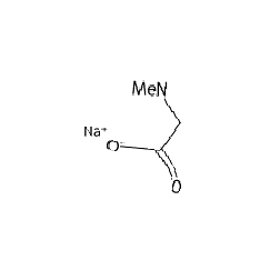 CNCC(=O)[O-].[Na+]